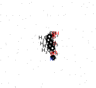 CC1(C)[C@@H](C(=O)OC2CN3CCC2CC3)CC[C@]2(C)[C@H]3C(=O)C=C4[C@@H]5C[C@@](C)(C(=O)O)CC[C@]5(C)CC[C@@]4(C)[C@]3(C)CC[C@@H]12